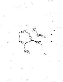 CCCCCC.O=[N+]([O-])c1ccccc1[N+](=O)[O-]